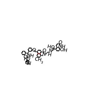 Cc1cccc(CN(CCCNC[C@@H](O)c2ccc(O)c3[nH]c(=O)ccc23)C(=O)c2ccc(COc3cccc(C(NC(=O)O[C@H]4CN5CCC4CC5)c4ccccc4)c3)cc2)c1